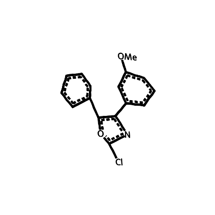 COc1cccc(-c2nc(Cl)oc2-c2ccccc2)c1